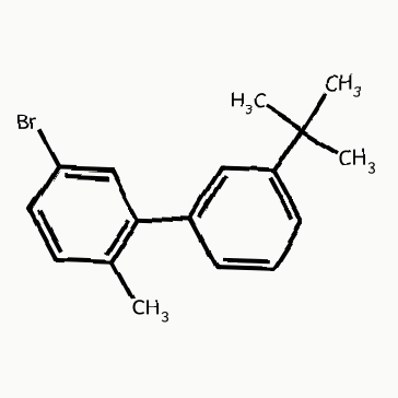 Cc1ccc(Br)cc1-c1cccc(C(C)(C)C)c1